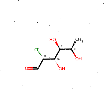 C[C@@H](O)[C@H](O)[C@H](O)[C@@H](Cl)C=O